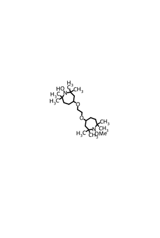 CON1C(C)(C)CCC(OCCOC2CCC(C)(C)N(O)C(C)(C)C2)CC1(C)C